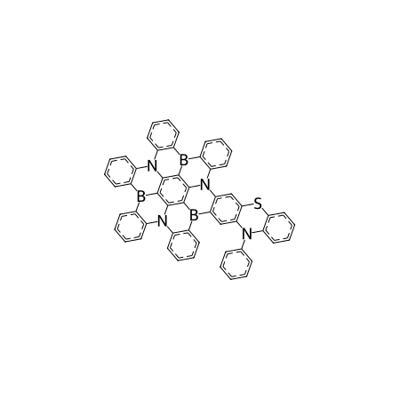 c1ccc(N2c3ccccc3Sc3cc4c(cc32)B2c3ccccc3N3c5ccccc5B5c6ccccc6N6c7ccccc7B7c8ccccc8N4c4c7c6c5c3c42)cc1